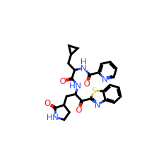 O=C(NC(CC1CC1)C(=O)NC(CC1CCNC1=O)C(=O)c1nc2ccccc2s1)c1ccccn1